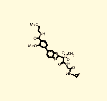 COCCNC(=O)c1ccc(-c2ccc3nc(C(C(=O)NCC(=O)NC4CC4)S(C)(=O)=O)sc3c2)cc1OC